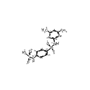 Cc1cc(C)nc(NS(=O)(=O)c2ccc(NS(=O)(=O)O)cc2)n1